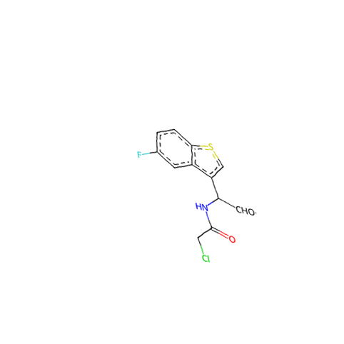 O=[C]C(NC(=O)CCl)c1csc2ccc(F)cc12